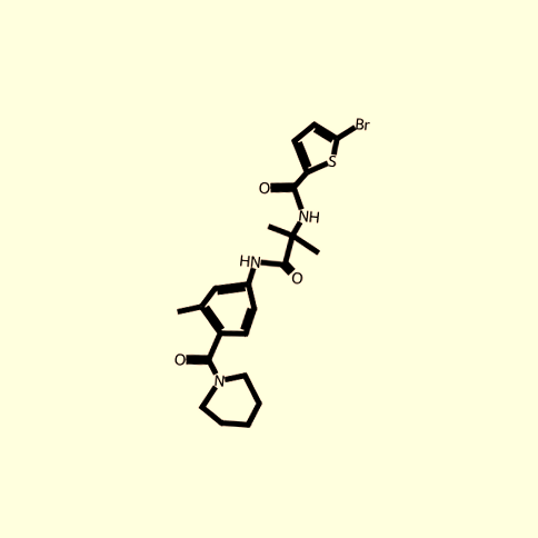 Cc1cc(NC(=O)C(C)(C)NC(=O)c2ccc(Br)s2)ccc1C(=O)N1CCCCC1